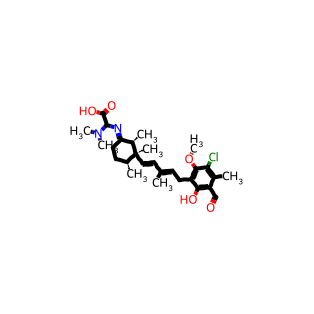 COc1c(Cl)c(C)c(C=O)c(O)c1C/C=C(C)/C=C/[C@@]1(C)[C@H](C)CC/C(=N\C(C(=O)O)N(C)C)[C@@H]1C